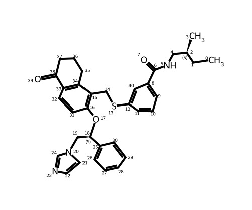 CC[C@H](C)CNC(=O)c1cccc(SCc2c(O[C@H](Cn3ccnc3)c3ccccc3)ccc3c2CCCC3=O)c1